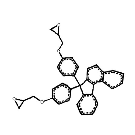 c1ccc2c(c1)-c1c(ccc3ccccc13)C2(c1ccc(OCC2CO2)cc1)c1ccc(OCC2CO2)cc1